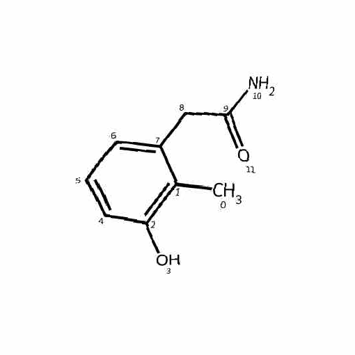 Cc1c(O)cccc1CC(N)=O